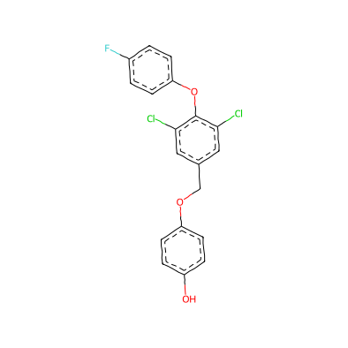 Oc1ccc(OCc2cc(Cl)c(Oc3ccc(F)cc3)c(Cl)c2)cc1